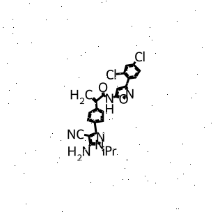 C=C(C(=O)Nc1cc(-c2ccc(Cl)cc2Cl)no1)c1ccc(-c2nn(C(C)C)c(N)c2C#N)cc1